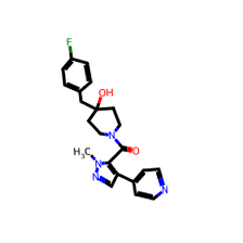 Cn1ncc(-c2ccncc2)c1C(=O)N1CCC(O)(Cc2ccc(F)cc2)CC1